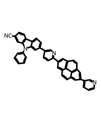 N#Cc1ccc2c3ccc(-c4ccc(-c5cc6ccc7cc(-c8cccnc8)cc8ccc(c5)c6c78)nc4)cc3n(-c3ccccc3)c2c1